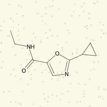 CCNC(=O)c1cnc(C2CC2)o1